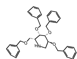 c1ccc(COC[C@H]2NC[C@H](OCc3ccccc3)[C@@H](OCc3ccccc3)[C@H]2OCc2ccccc2)cc1